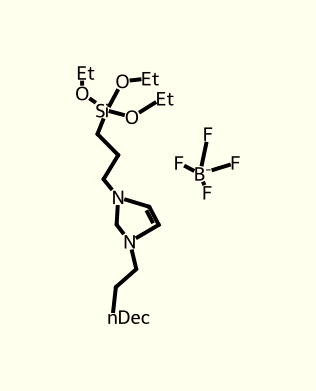 CCCCCCCCCCCCN1C=CN(CCC[Si](OCC)(OCC)OCC)C1.F[B-](F)(F)F